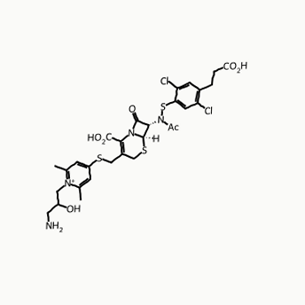 CC(=O)N(Sc1cc(Cl)c(CCC(=O)O)cc1Cl)[C@H]1C(=O)N2C(C(=O)O)=C(CSc3cc(C)[n+](CC(O)CN)c(C)c3)CS[C@H]12